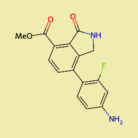 COC(=O)c1ccc(-c2ccc(N)cc2F)c2c1C(=O)NC2